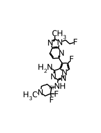 Cc1nc2ccc(-c3c(F)cn4nc(N[C@@H]5CCN(C)CC5(F)F)nc(N)c34)nc2n1CCF